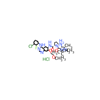 CN[C@@H](C)C(N)[C@@H](C(=O)N1CCC[C@H]1C(=O)Nc1cc2c(Nc3cccc(Cl)c3F)ncnc2cc1OCCOC)C(C)(C)C.Cl